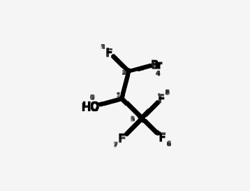 OC(C(F)Br)C(F)(F)F